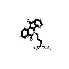 CN(C)CCCn1c2c(c3ccccc3c1=O)C(=O)c1cccnc1-2